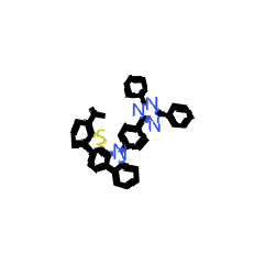 CC(C)c1cccc2c1sc1c2ccc2c3ccccc3n(-c3ccc(-c4nc(-c5ccccc5)nc(-c5ccccc5)n4)cc3)c21